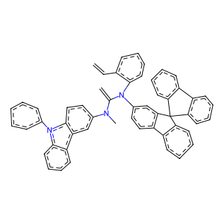 C=Cc1ccccc1N(C(=C)N(C)c1ccc2c(c1)c1ccccc1n2-c1ccccc1)c1ccc2c(c1)C1(c3ccccc3-c3ccccc31)c1ccccc1-2